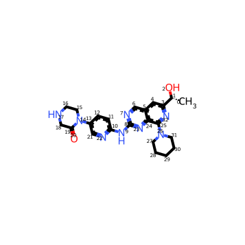 C[C@@H](O)c1cc2cnc(Nc3ccc(N4CCNCC4=O)cn3)nc2c(N2CCCCC2)n1